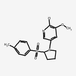 COc1cc(N2CCCC2S(=O)(=O)c2ccc(C)cc2)cnc1Cl